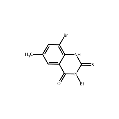 CCn1c(=S)[nH]c2c(Br)cc(C)cc2c1=O